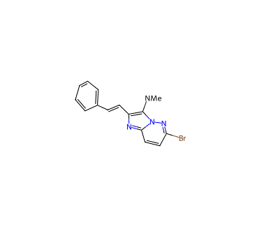 CNc1c(C=Cc2ccccc2)nc2ccc(Br)nn12